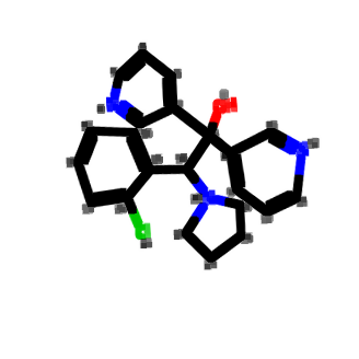 OC(c1cccnc1)(c1cccnc1)C(c1ccccc1Cl)N1CCCC1